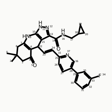 CC1(C)CC(=O)C2=C(C1)Nc1[nH]nc(C(=O)NCC3CC3)c1C2/C=C/c1ccc(-c2cccc(F)c2)cn1